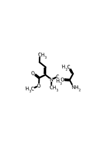 C=CC(N)=O.CC/C=C(\C(=O)OC)N(C)C